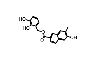 Cc1cc2cc(C(=O)OCc3cccc(O)c3O)ccc2cc1O